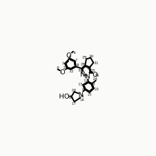 COc1cc(OC)cc(-c2nn(-c3cc(N4CC[C@H](O)C4)ccc3C)c(=O)c3c2CCC3)c1